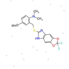 COc1ccc(N(C)C)c(CSc2nc3cc4c(cc3[nH]2)OC(F)(F)O4)c1